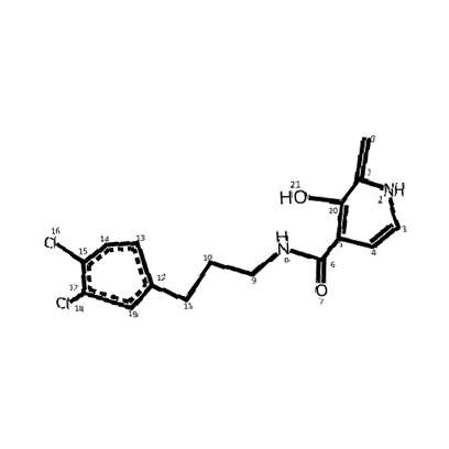 C=C1NC=CC(C(=O)NCCCc2ccc(Cl)c(Cl)c2)=C1O